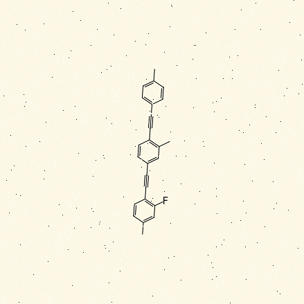 Cc1ccc(C#Cc2ccc(C#Cc3ccc(C)cc3F)cc2C)cc1